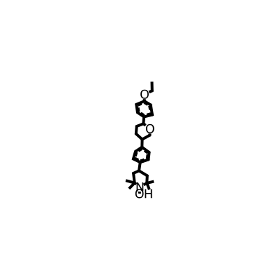 CCOc1ccc(C2CCC(c3ccc(C4CC(C)(C)N(O)C(C)(C)C4)cc3)CO2)cc1